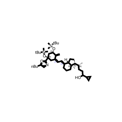 C=C1/C(=C\C=C2/CCC[C@]3(C)[C@@H]([C@H](C)CCC(O)C4CC4)CC[C@@H]23)C[C@](O[Si](C)(C)C(C)(C)C)(c2ncc(CCCC)o2)C[C@@H]1O[Si](C)(C)C(C)(C)C